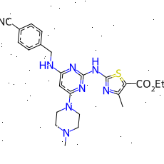 CCOC(=O)c1sc(Nc2nc(NCc3ccc(C#N)cc3)cc(N3CCN(C)CC3)n2)nc1C